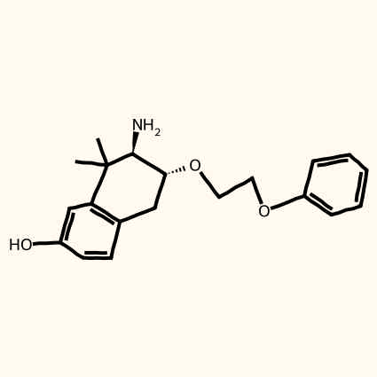 CC1(C)c2cc(O)ccc2C[C@@H](OCCOc2ccccc2)[C@@H]1N